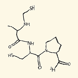 [2H]C(=O)C1CCCN1C(=O)C(CS)NC(=O)C(C)NCS